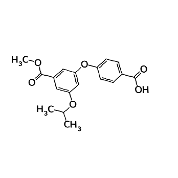 COC(=O)c1cc(Oc2ccc(C(=O)O)cc2)cc(OC(C)C)c1